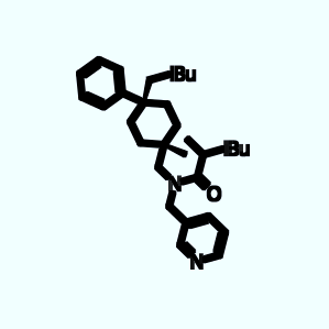 CCC(C)C[C@]1(c2ccccc2)CC[C@@](C)(CN(Cc2cccnc2)C(=O)C(C)C(C)CC)CC1